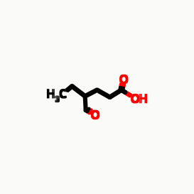 CCC(C=O)CCC(=O)O